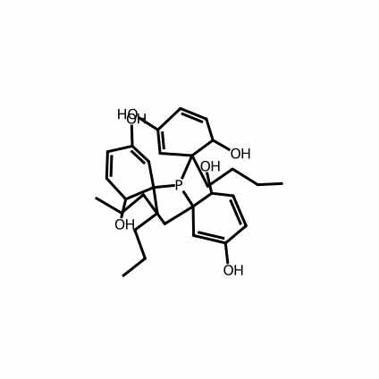 CCCCC1(P(C2(CCCC)C=C(O)C=CC2O)C2(CCCC)C=C(O)C=CC2O)C=C(O)C=CC1O